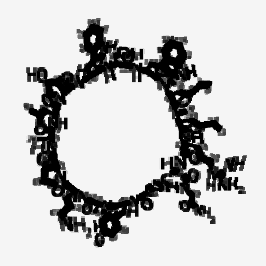 CCCC[C@H]1C(=O)N(C)[C@@H](CCCC)C(=O)N[C@@H](CCCNC(=N)N)C(=O)N[C@H](C(=O)NCC(N)=O)CSCC(=O)N[C@@H](Cc2ccc(O)cc2)C(=O)N(C)[C@@H](C)C(=O)N[C@@H](CCCN)C(=O)N2CCC[C@H]2C(=O)N[C@@H](C)C(=O)N[C@@H](CC(C)C)C(=O)N2C[C@@H](O)C[C@H]2C(=O)N[C@@H](Cc2c[nH]c3ccccc23)C(=O)N[C@@H](CO)C(=O)N[C@@H](Cc2c[nH]c3ccccc23)C(=O)N1C